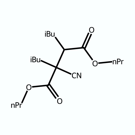 CCCOC(=O)C(C(C)CC)C(C#N)(C(=O)OCCC)C(C)CC